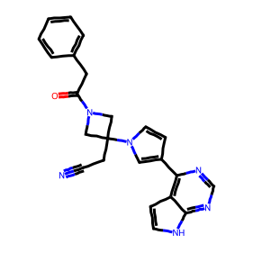 N#CCC1(n2ccc(-c3ncnc4[nH]ccc34)c2)CN(C(=O)Cc2ccccc2)C1